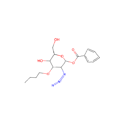 CCCCOC1C(O)C(CO)OC(OC(=O)c2ccccc2)C1N=[N+]=[N-]